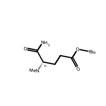 CN[C@@H](CCC(=O)OC(C)(C)C)C(N)=O